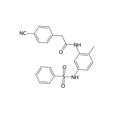 Cc1ccc(NS(=O)(=O)c2ccccc2)cc1NC(=O)Cc1ccc(C#N)cc1